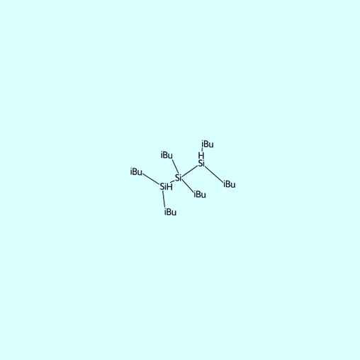 CCC(C)[SiH](C(C)CC)[Si](C(C)CC)(C(C)CC)[SiH](C(C)CC)C(C)CC